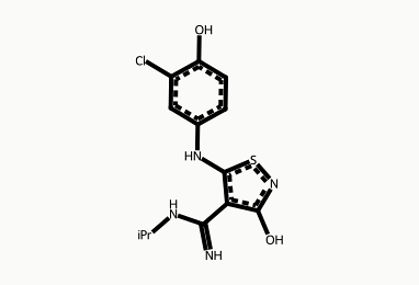 CC(C)NC(=N)c1c(O)nsc1Nc1ccc(O)c(Cl)c1